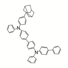 c1ccc(-c2ccc(N(c3ccccc3)c3ccc(-c4ccc(N(c5ccccc5)c5ccc(C67CC8CC(CC(C8)C6)C7)cc5)cc4)cc3)cc2)cc1